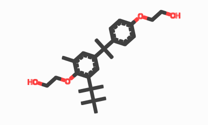 Cc1cc(C(C)(C)c2ccc(OCCO)cc2)cc(C(C)(C)C(C)(C)C)c1OCCO